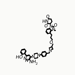 Cn1c(=O)n(C2CCC(=O)NC2=O)c2cccc(CCCOCC3CN(Cc4ccc(N5CCN(c6cc(-c7ccccc7O)nnc6N)CC5)cc4)C3)c21